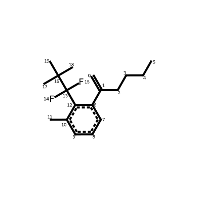 C=C(CCCC)c1cccc(C)c1C(F)(F)C(C)(C)C